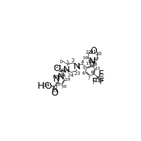 CC1CN(Cc2ccc(C(F)(F)F)cc2N2C3CCC2COC3)CCN1C(=O)n1ccc(C(=O)O)n1